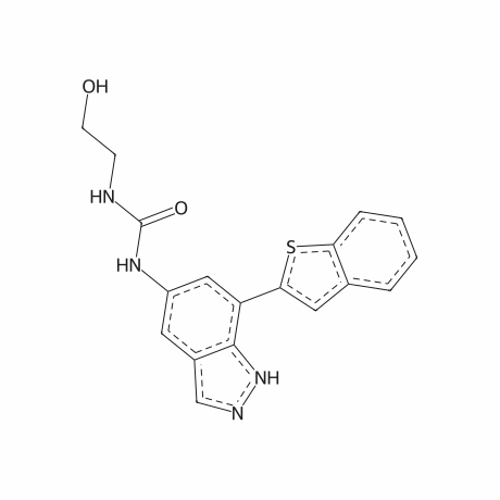 O=C(NCCO)Nc1cc(-c2cc3ccccc3s2)c2[nH]ncc2c1